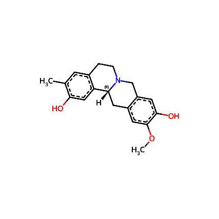 COc1cc2c(cc1O)CN1CCc3cc(C)c(O)cc3[C@H]1C2